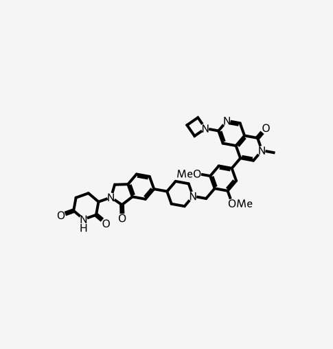 COc1cc(-c2cn(C)c(=O)c3cnc(N4CCC4)cc23)cc(OC)c1CN1CCC(c2ccc3c(c2)C(=O)N(C2CCC(=O)NC2=O)C3)CC1